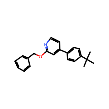 CC(C)(C)c1ccc(-c2ccnc(OCc3ccccc3)c2)cc1